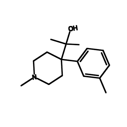 Cc1cccc(C2(C(C)(C)O)CCN(C)CC2)c1